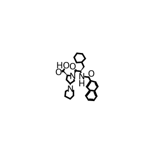 O=C(N[C@H](CC1CCCCC1)C(=O)N1C[C@H](N2CCCCC2)C[C@H]1C(=O)O)c1ccc2ccccc2c1